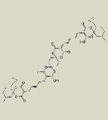 CC1CCC(C2CC2)C2(C1)OC(=O)C(=C/C=C/C=C/C1=C(O)OC3(CCC4(CC3)OC(=O)C(=C/C=C/C=C/C3=C(O)OC5(CC(C)CCC5C5CC5)OC3=O)C(=O)O4)OC1=O)C(=O)O2